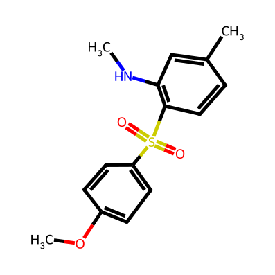 CNc1cc(C)ccc1S(=O)(=O)c1ccc(OC)cc1